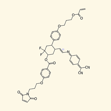 C=CC(=O)OCCCOc1ccc(C2CC(F)(F)C(OC(=O)c3ccc(OCCCN4C(=O)C=CC4=O)cc3)CC2/C=C/N=C2C=CC(=C(C#N)C#N)C=C2)cc1